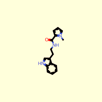 Cn1cccc1C(=O)NCCc1c[nH]c2ccccc12